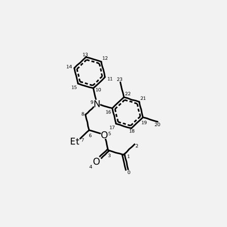 C=C(C)C(=O)OC(CC)CN(c1ccccc1)c1ccc(C)cc1C